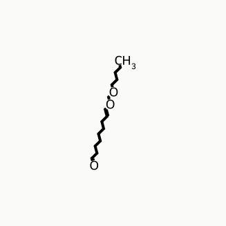 CCCCCOCOC=CCCCCCCC=O